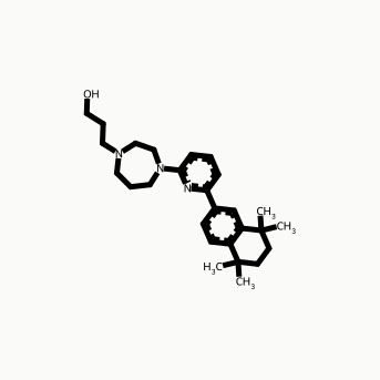 CC1(C)CCC(C)(C)c2cc(-c3cccc(N4CCCN(CCCO)CC4)n3)ccc21